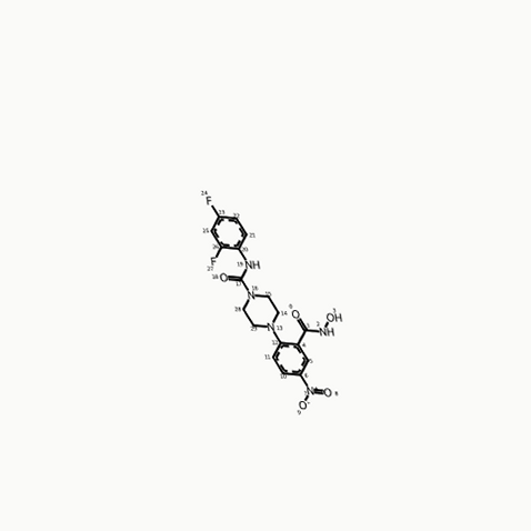 O=C(NO)c1cc([N+](=O)[O-])ccc1N1CCN(C(=O)Nc2ccc(F)cc2F)CC1